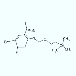 C[Si](C)(C)CCOCn1nc(I)c2cc(Br)c(F)cc21